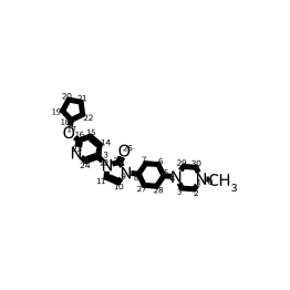 CN1CCN(C2CCC(n3ccn(-c4ccc(OC5CCCC5)nc4)c3=O)CC2)CC1